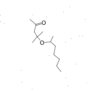 CCCCCC(C)OC(C)(C)CC(C)=O